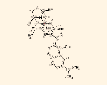 CN(C)c1cnc2ccc(-c3n[nH]c4nc(N5[C@@H]6CC[C@H]5[C@@H](F)[C@@H](N)C6)c(CO)nc34)c(Cl)c2n1